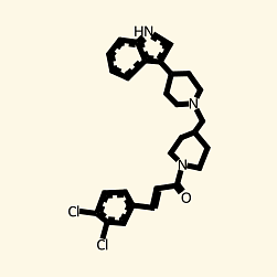 O=C(C=Cc1ccc(Cl)c(Cl)c1)N1CCC(CN2CCC(c3c[nH]c4ccccc34)CC2)CC1